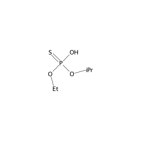 CCOP(O)(=S)OC(C)C